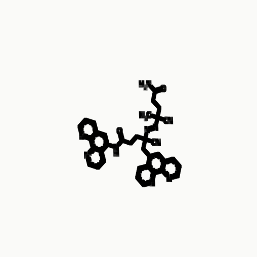 CC(C#N)(CCC(N)=O)N=NC(C#N)(CCC(=O)Nc1cc2cccnc2c2ncccc12)Cc1cc2cccnc2c2ncccc12